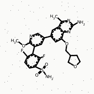 COc1ncc(-c2cc(OCC3CCOC3)c3nc(N)nc(C)c3c2)cc1-c1c(F)ccc(S(N)(=O)=O)c1F